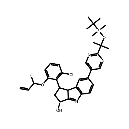 C=CC(F)Oc1cccc(Cl)c1C1C[C@H](O)C2=Nc3ccc(-c4cnc(C(C)(C)O[Si](C)(C)C(C)(C)C)nc4)cc3C21